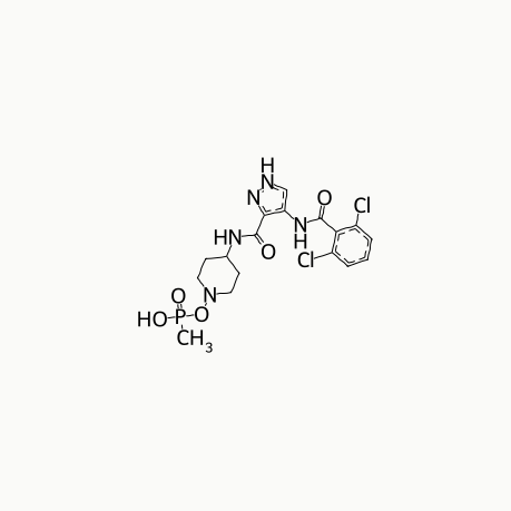 CP(=O)(O)ON1CCC(NC(=O)c2n[nH]cc2NC(=O)c2c(Cl)cccc2Cl)CC1